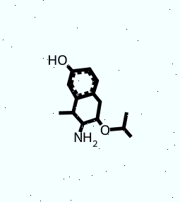 CC(C)OC1Cc2ccc(O)cc2C(C)C1N